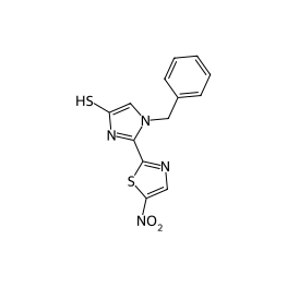 O=[N+]([O-])c1cnc(-c2nc(S)cn2Cc2ccccc2)s1